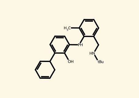 Cc1cccc(CNC(C)(C)C)c1Pc1cccc(C2C=CC=CC2)c1O